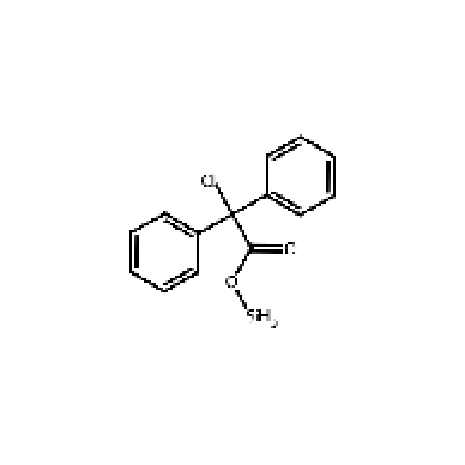 O=C(O[SiH3])C(Cl)(c1ccccc1)c1ccccc1